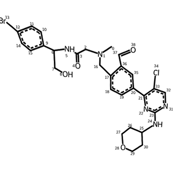 CN(CC(=O)NC(CO)c1ccc(Br)cc1)Cc1ccc(-c2nc(NC3CCOCC3)ncc2Cl)cc1C=O